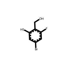 OCc1c(F)cc(Br)cc1S